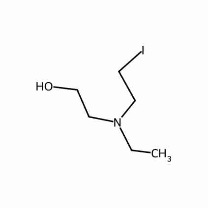 CCN(CCO)CCI